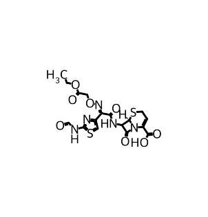 CCOC(=O)CO/N=C(/C(=O)NC1C(=O)N2C(C(=O)O)=CCS[C@H]12)c1csc(NC=O)n1